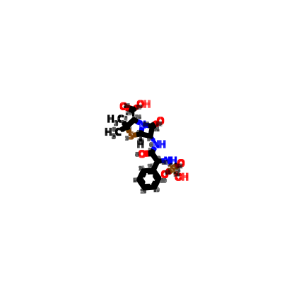 CC1(C)S[C@@H]2[C@H](NC(=O)C(NS(=O)(=O)O)c3ccccc3)C(=O)N2[C@H]1C(=O)O